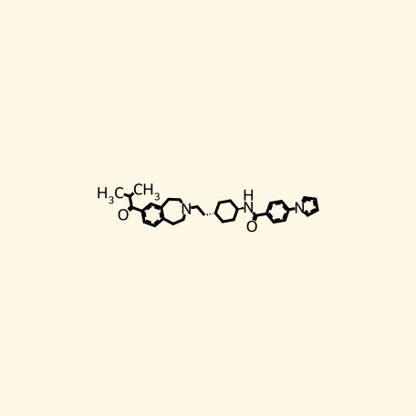 CC(C)C(=O)c1ccc2c(c1)CCN(CC[C@H]1CC[C@H](NC(=O)c3ccc(-n4cccc4)cc3)CC1)CC2